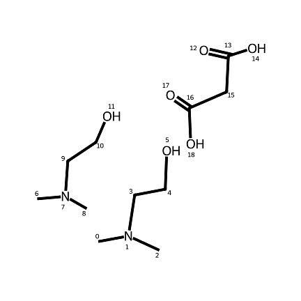 CN(C)CCO.CN(C)CCO.O=C(O)CC(=O)O